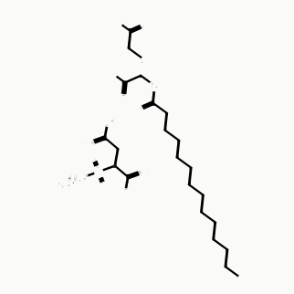 CCCCCCCCCCCCCC(=O)N[C@@H](CCC(=O)[O-])C(=O)[O-].O=C(O)CC(C(=O)O)S(=O)(=O)O.[Na+].[Na+]